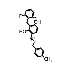 Cc1ccc(C/N=C/c2ccc(O)c(Cc3c(F)cccc3Cl)c2O)cc1